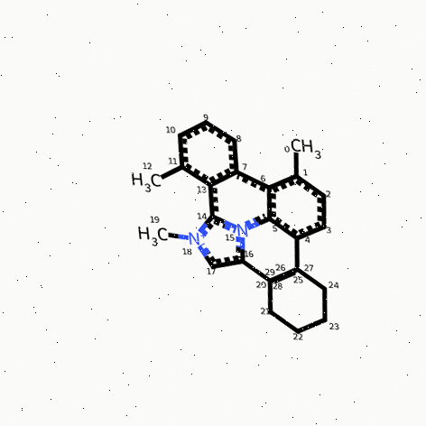 Cc1ccc2c3c1c1cccc(C)c1c1n3c(c[n+]1C)C13CCCCC21CCCC3